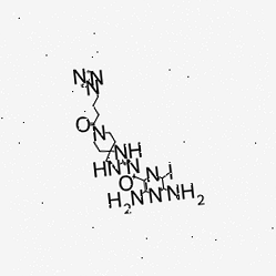 Nc1nc(N)c(C(=O)/N=C2\NCC3(CCN(C(=O)CCCn4cncn4)CC3)N2)nc1I